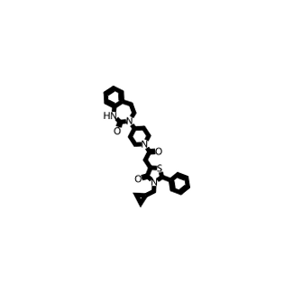 O=C(CC1SC(c2ccccc2)N(CC2CC2)C1=O)N1CCC(N2CCc3ccccc3NC2=O)CC1